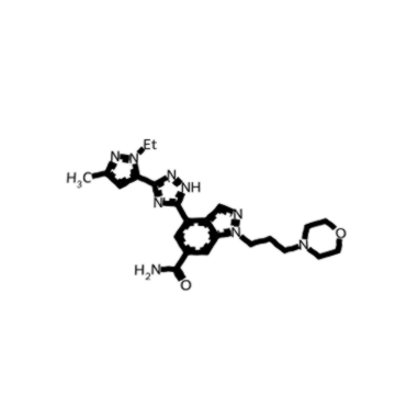 CCn1nc(C)cc1-c1n[nH]c(-c2cc(C(N)=O)cc3c2cnn3CCCN2CCOCC2)n1